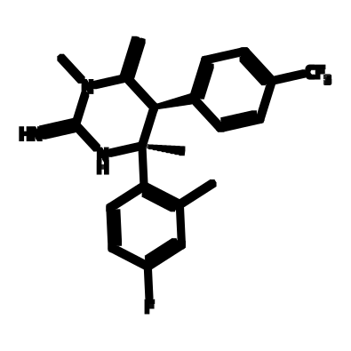 C=C1[C@@H](c2ccc(C(F)(F)F)cc2)[C@@](C)(c2ccc(F)cc2C)NC(=N)N1C